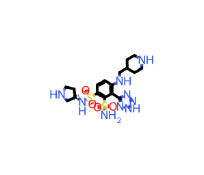 NS(=O)(=O)c1c(S(=O)(=O)N[C@@H]2CCNC2)ccc(NCC2CCNCC2)c1-c1nn[nH]n1